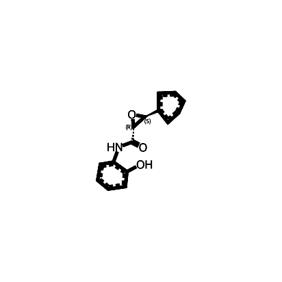 O=C(Nc1ccccc1O)[C@@H]1O[C@H]1c1ccccc1